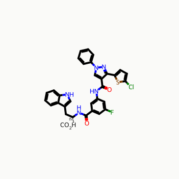 O=C(N[C@@H](Cc1c[nH]c2ccccc12)C(=O)O)c1cc(F)cc(NC(=O)c2cn(-c3ccccc3)nc2-c2ccc(Cl)s2)c1